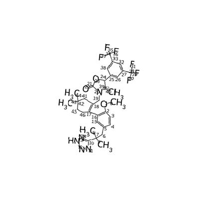 COc1ccc(CC(C)(C)c2nn[nH]n2)cc1C1=C(CN2C(=O)OC(c3cc(C(F)(F)F)cc(C(F)(F)F)c3)[C@@H]2C)CC(C)(C)CC1